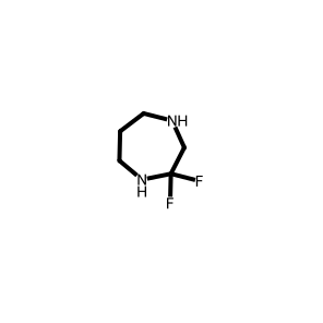 FC1(F)CNCCCN1